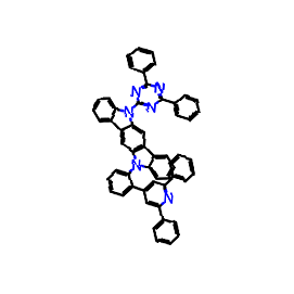 c1ccc(-c2cc(-c3ccccc3-n3c4ccccc4c4cc5c(cc43)c3ccccc3n5-c3nc(-c4ccccc4)nc(-c4ccccc4)n3)cc(-c3ccccc3)n2)cc1